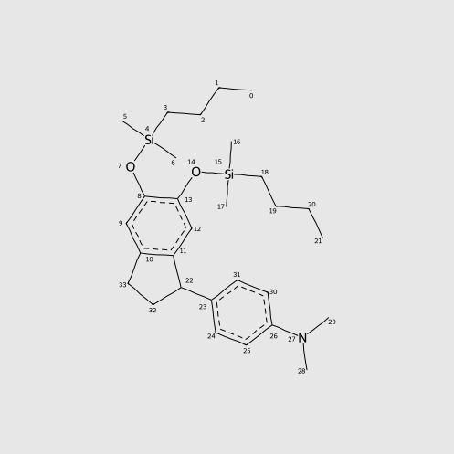 CCCC[Si](C)(C)Oc1cc2c(cc1O[Si](C)(C)CCCC)C(c1ccc(N(C)C)cc1)CC2